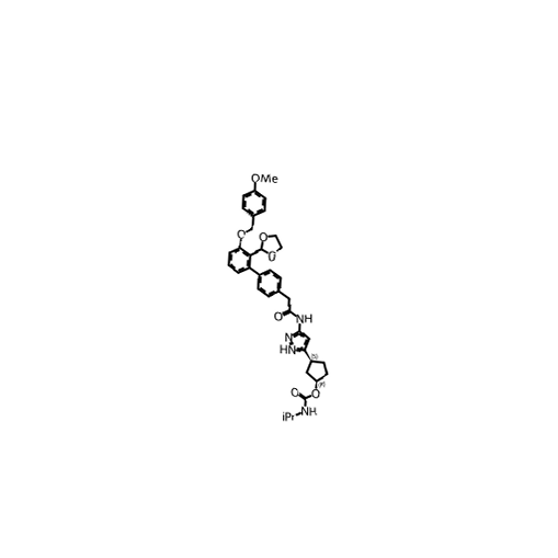 COc1ccc(COc2cccc(-c3ccc(CC(=O)Nc4cc([C@H]5CC[C@@H](OC(=O)NC(C)C)C5)[nH]n4)cc3)c2C2OCCO2)cc1